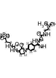 CCCCOC(=O)CCNC(=O)N[C@H]1CCN(c2ccc(C(=N)NOC(=O)NCCN(C)C)cc2)C1=O